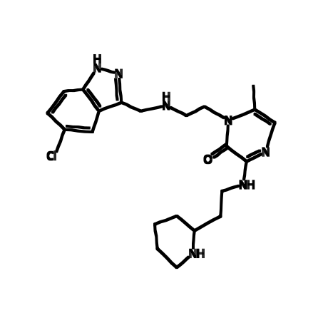 Cc1cnc(NCCC2CCCCN2)c(=O)n1CCNCc1n[nH]c2ccc(Cl)cc12